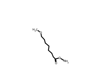 COCCCCCCCC(=O)ON